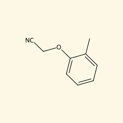 Cc1ccccc1OCC#N